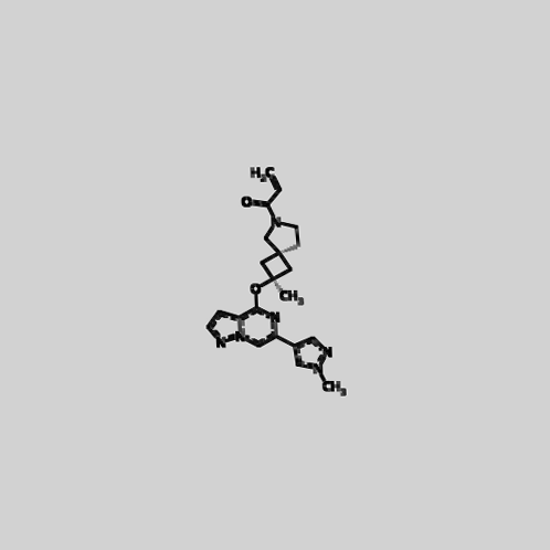 C=CC(=O)N1CC[C@]2(C1)C[C@@](C)(Oc1nc(-c3cnn(C)c3)cn3nccc13)C2